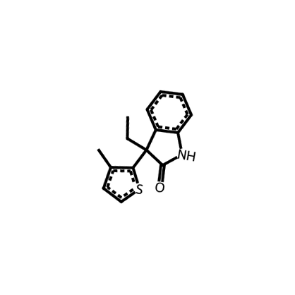 CCC1(c2sccc2C)C(=O)Nc2ccccc21